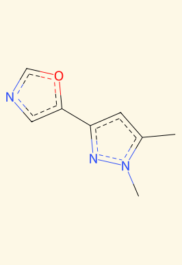 Cc1cc(-c2cnco2)nn1C